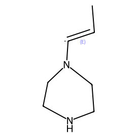 C/C=[C]/N1CCNCC1